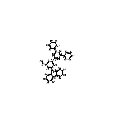 C=Cc1cc(-c2nc(-c3ccccc3)cc(-c3ccccc3)n2)cc(-n2c3ccccc3c3ccccc32)c1